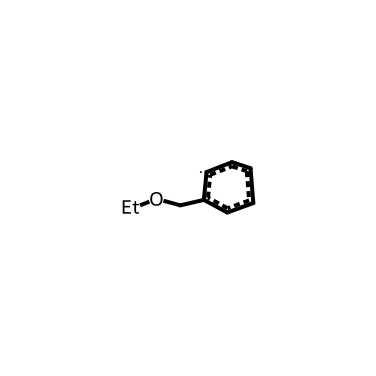 CCOCc1[c]cccc1